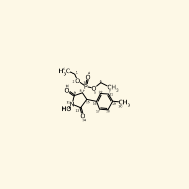 CCOP(=O)(OCC)[C@H]1C(=O)N(O)C(=O)C1c1ccc(C)cc1